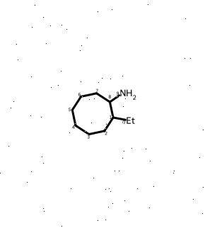 CCC1CCCCCCC1N